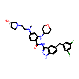 CN(CCN1CC[C@H](O)C1)c1ccc(C(=O)Nc2n[nH]c3ccc(Cc4cc(F)cc(F)c4)cc23)c(NC2CCOCC2)c1